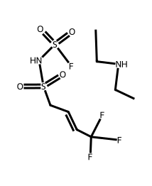 CCNCC.O=S(=O)(F)NS(=O)(=O)CC=CC(F)(F)F